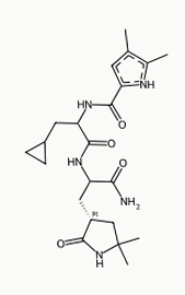 Cc1cc(C(=O)NC(CC2CC2)C(=O)NC(C[C@@H]2CC(C)(C)NC2=O)C(N)=O)[nH]c1C